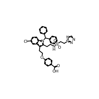 O=C(O)c1ccc(OCCc2c(CCNS(=O)(=O)CCn3ncnn3)n(C(c3ccccc3)c3ccccc3)c3ccc(Cl)cc23)cc1